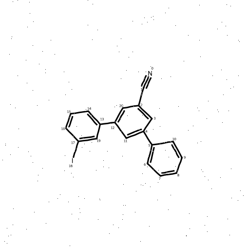 N#Cc1cc(-c2ccccc2)cc(-c2cccc(I)c2)c1